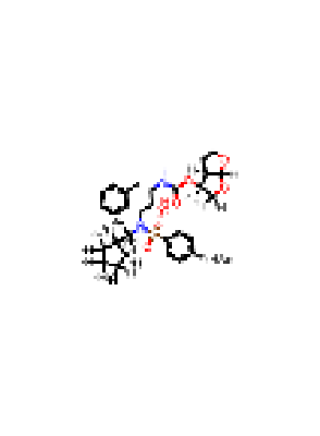 [2H]C([2H])(N(C[C@@H](O)[C@H](Cc1ccccc1)NC(=O)O[C@]1([2H])[C@@H]2CCO[C@@H]2OC1([2H])[2H])S(=O)(=O)c1ccc(NC(C)=O)cc1)C1([2H])C([2H])([2H])C([2H])([2H])C([2H])([2H])C1([2H])[2H]